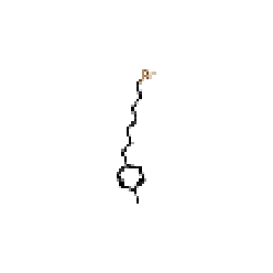 Cc1ccc(CCCCCCCBr)cc1